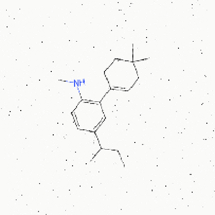 CCC(C)c1ccc(NC)c(C2=CCC(C)(C)CC2)c1